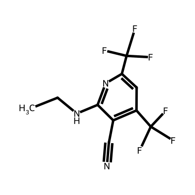 CCNc1nc(C(F)(F)F)cc(C(F)(F)F)c1C#N